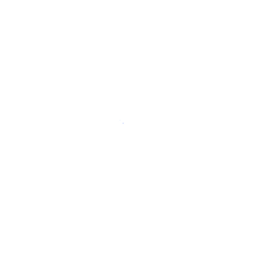 Clc1ccc(C2(NCc3cccs3)CCC2)cc1